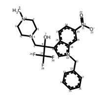 CN1CCN(CC(O)(c2cn(Cc3ccccc3)c3cc([N+](=O)[O-])ccc23)C(F)(F)F)CC1